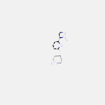 Cn1nccc1-c1cccc(OC2CCNCC2)n1